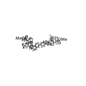 COC(=O)N[C@@H](C)C(=O)N1C[Si](C)(C)C[C@H]1c1ncc(-c2ccc(-c3ccc4c(ccc5nc([C@@H]6CC(F)(F)CN6C(=O)[C@@H](NC(=O)OC)C(C)C)[nH]c54)c3)cc2)[nH]1